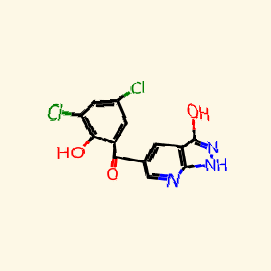 O=C(c1cnc2[nH]nc(O)c2c1)c1cc(Cl)cc(Cl)c1O